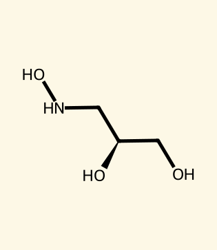 OC[C@@H](O)CNO